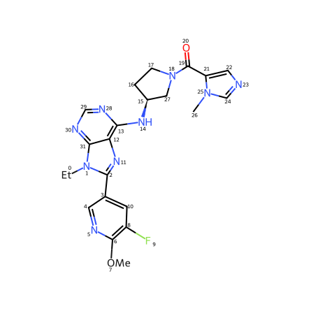 CCn1c(-c2cnc(OC)c(F)c2)nc2c(N[C@H]3CCN(C(=O)c4cncn4C)C3)ncnc21